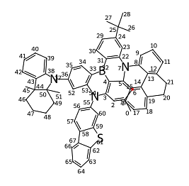 Cc1cc2c3c(c1)N(c1cccc4c1-c1ccccc1CC4)c1cc(C(C)(C)C)ccc1B3c1ccc(N3c4ccccc4C4(C)CCCCC34C)cc1N2c1ccc2c(c1)sc1ccccc12